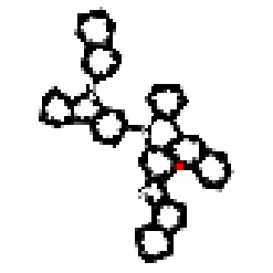 c1ccc(N(c2ccc3c(c2)sc2c4ccccc4ccc32)c2ccc3c4ccccc4n(-c4ccc5ccccc5c4)c3c2)c(-c2ccc3ccccc3c2)c1